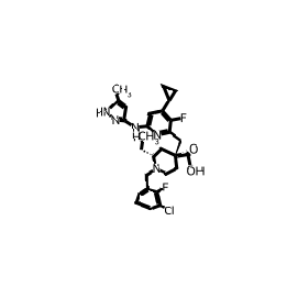 CC[C@@H]1C[C@](Cc2nc(Nc3cc(C)[nH]n3)cc(C3CC3)c2F)(C(=O)O)CCN1Cc1cccc(Cl)c1F